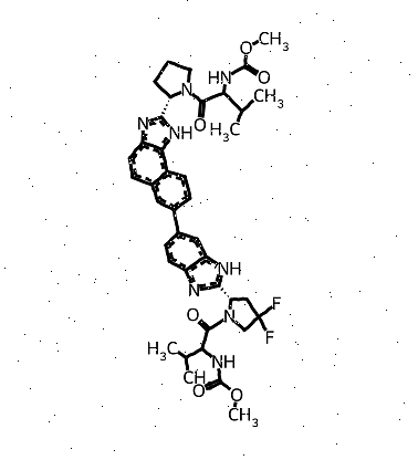 COC(=O)NC(C(=O)N1CC(F)(F)C[C@H]1c1nc2ccc(-c3ccc4c(ccc5nc([C@@H]6CCCN6C(=O)C(NC(=O)OC)C(C)C)[nH]c54)c3)cc2[nH]1)C(C)C